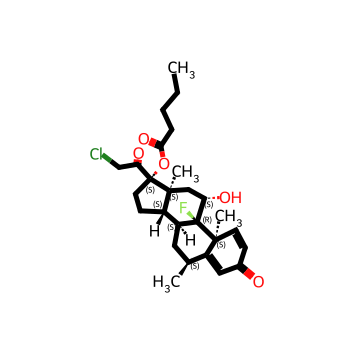 CCCCC(=O)O[C@@]1(C(=O)CCl)CC[C@H]2[C@@H]3C[C@H](C)C4=CC(=O)C=C[C@]4(C)[C@@]3(F)[C@@H](O)C[C@@]21C